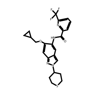 O=C(Nc1cc2cn(C3CCSCC3)nc2cc1OCC1CC1)c1cccc(C(F)(F)F)n1